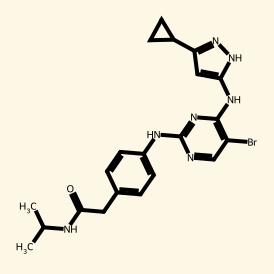 CC(C)NC(=O)Cc1ccc(Nc2ncc(Br)c(Nc3cc(C4CC4)n[nH]3)n2)cc1